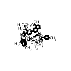 Cc1ccc(C(OS(=O)(=O)CCCN(CCOC23CC4(C)CC(C)(CC(Cn5ncc(-c6ccc(-c7ccc8cccc(C(=O)O)c8c7)nc6C(=O)OC(C)(C)C)c5C)(C4)C2)C3)C(=O)OC(C)(C)C)C(F)(F)F)cc1